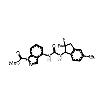 COC(=O)n1ncc2c(NC(=O)NC3c4ccc(C(C)(C)C)cc4CC3(F)F)cccc21